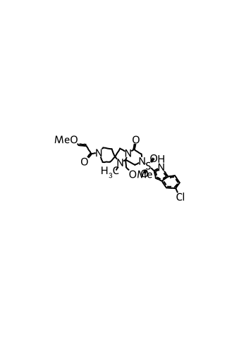 CO/C=C/C(=O)N1CCC2(CC1)CN1C(=O)CN(S(=O)(=O)c3cc4cc(Cl)ccc4[nH]3)CC1(COC)N2C